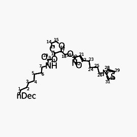 CCCCCCCCCCCCCCCCCNC(=O)OC1CCCOC1COc1cc(CCCC[n+]2ccsc2)on1